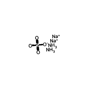 N.N.O=S(=O)([O-])[O-].[Na+].[Na+]